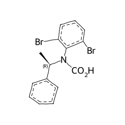 C[C@H](c1ccccc1)N(C(=O)O)c1c(Br)cccc1Br